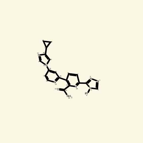 CC(C)n1cnnc1-c1ccc(-c2cc(-n3cnc(C4CC4)c3)ccn2)c(C(N)=O)n1